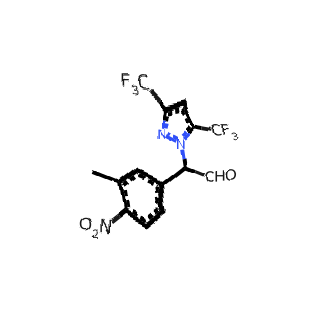 Cc1cc(C(C=O)n2nc(C(F)(F)F)cc2C(F)(F)F)ccc1[N+](=O)[O-]